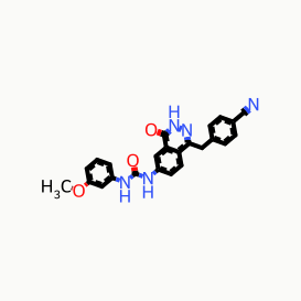 COc1cccc(NC(=O)Nc2ccc3c(Cc4ccc(C#N)cc4)n[nH]c(=O)c3c2)c1